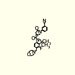 CC1(C)CN(C(=O)[C@H]2CC(=O)N(c3cccc(C#N)c3)C2)c2ccc(CN3CCOCC3)c(F)c21